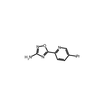 CC(C)c1ccc(-c2nc(N)no2)nc1